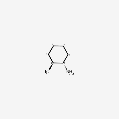 CC[C@H]1CCCC[C@@H]1N